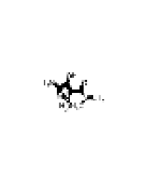 CN(C)C(=O)c1c(O)c(N)nn1C